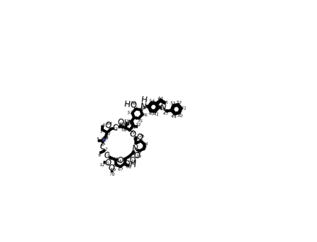 CCC1/C=C(\C)CC(C)CC(OC)C2OC(O)(C(=O)C(=O)N3CCCCC3C(=O)OC(C(C)=CC3CCC(Nc4ccc5c(ccn5Cc5ccccc5)c4)C(O)C3)C(C)C(O)CC1=O)C(C)CC2OC